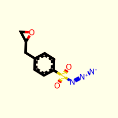 [N-]=[N+]=NS(=O)(=O)c1ccc(CC2CO2)cc1